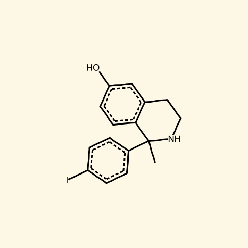 CC1(c2ccc(I)cc2)NCCc2cc(O)ccc21